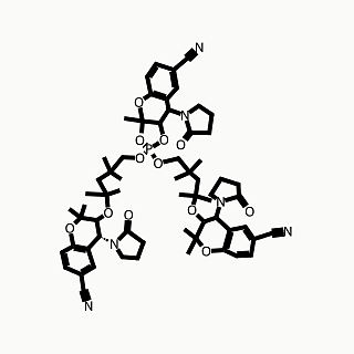 CC(C)(COP(=O)(OCC(C)(C)CC(C)(C)OC1[C@H](N2CCCC2=O)c2cc(C#N)ccc2OC1(C)C)OC1C(N2CCCC2=O)c2cc(C#N)ccc2OC1(C)C)CC(C)(C)OC1C(N2CCCC2=O)c2cc(C#N)ccc2OC1(C)C